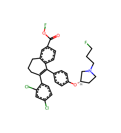 O=C(OF)c1ccc2c(c1)CCCC(c1ccc(Cl)cc1Cl)=C2c1ccc(O[C@H]2CCN(CCCF)C2)cc1